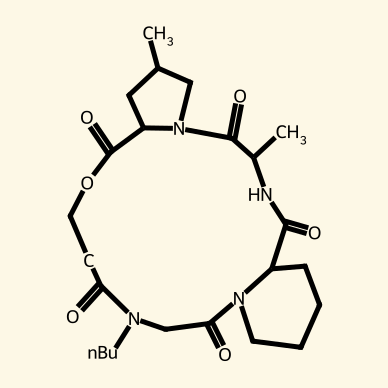 CCCCN1CC(=O)N2CCCCC2C(=O)NC(C)C(=O)N2CC(C)CC2C(=O)OCCC1=O